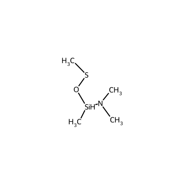 CSO[SiH](C)N(C)C